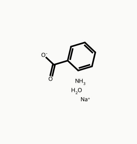 N.O.O=C([O-])c1ccccc1.[Na+]